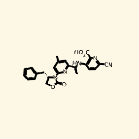 Cc1cc(C(C)Nc2ccc(C#N)nc2C(=O)O)nc(N2C(=O)OC[C@@H]2Cc2ccccc2)c1